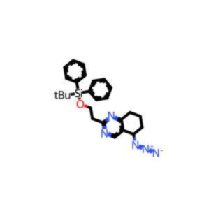 CC(C)(C)[Si](OCCc1ncc2c(n1)CCCC2N=[N+]=[N-])(c1ccccc1)c1ccccc1